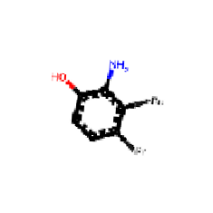 CCCCc1c(C(C)C)ccc(O)c1N